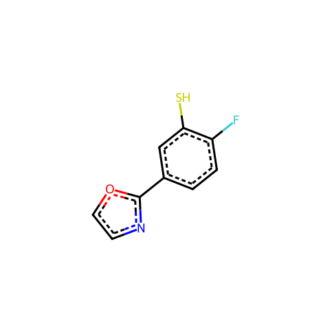 Fc1ccc(-c2ncco2)cc1S